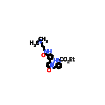 CCOC(=O)Nc1cccc(Cn2nc(-c3cccc(C(=O)NCCCCN(C)C)c3)ccc2=O)c1